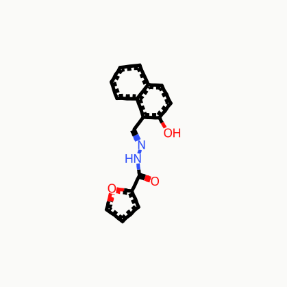 O=C(N/N=C/c1c(O)ccc2ccccc12)c1ccco1